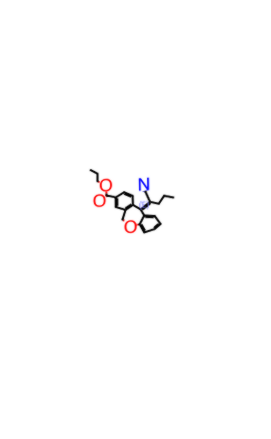 CCCOC(=O)c1ccc2c(c1)COc1ccccc1/C2=C(/C#N)CCC